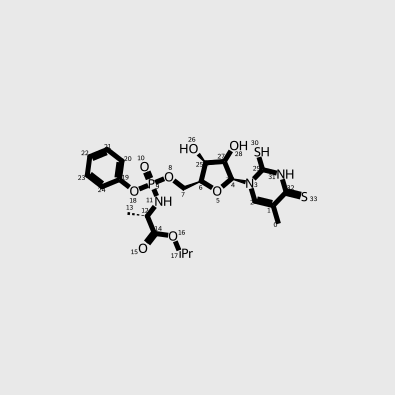 CC1=CN([C@H]2O[C@@H](COP(=O)(N[C@@H](C)C(=O)OC(C)C)Oc3ccccc3)[C@@H](O)C2O)C(S)NC1=S